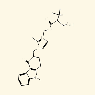 Cc1n(CC2CCc3c(c4ccccc4n3C)C2=O)cc[n+]1COC(=O)C(CN)C(C)(C)C